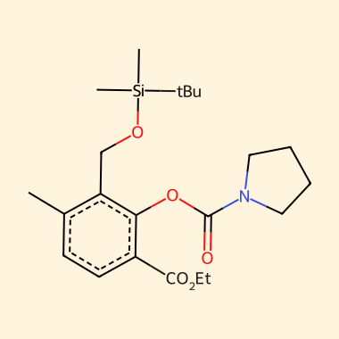 CCOC(=O)c1ccc(C)c(CO[Si](C)(C)C(C)(C)C)c1OC(=O)N1CCCC1